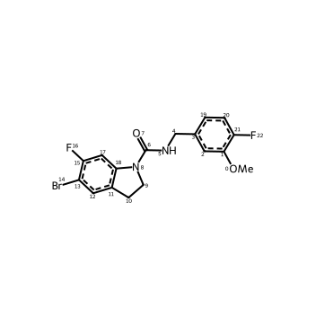 COc1cc(CNC(=O)N2CCc3cc(Br)c(F)cc32)ccc1F